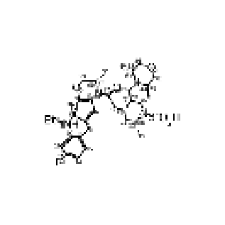 CCNc1nc2c(cc1Cc1ccc(F)cc1)N(C(=O)CN1C[C@@H](C)N(C(=O)O)C[C@@H]1CN1[C@H](C)COC[C@H]1C)[C@@H](C)CO2